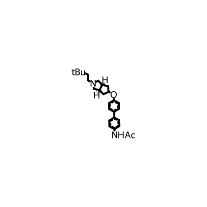 CC(=O)Nc1ccc(-c2ccc(OC3C[C@@H]4CN(CCC(C)(C)C)C[C@@H]4C3)cc2)cc1